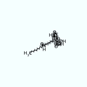 CCCCCCCCCC(=O)NCCCCCCOC1C(O[PH](=O)O)[C@@H](CO)O[C@H]1n1ccc(=O)[nH]c1=O